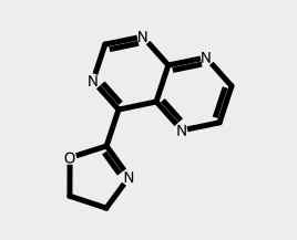 c1cnc2c(C3=NCCO3)ncnc2n1